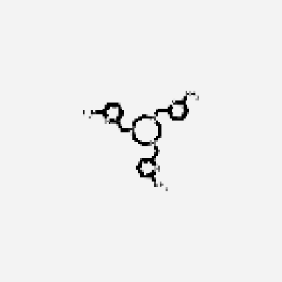 Nc1cccc(CN2CCN(Cc3cccc(N)n3)CCN(Cc3cccc(N)n3)CC2)n1